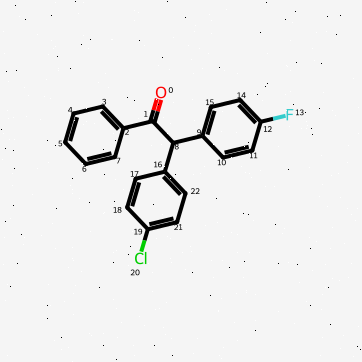 O=C(c1ccccc1)C(c1ccc(F)cc1)c1ccc(Cl)cc1